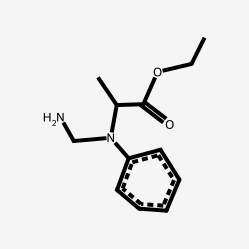 CCOC(=O)C(C)N(CN)c1ccccc1